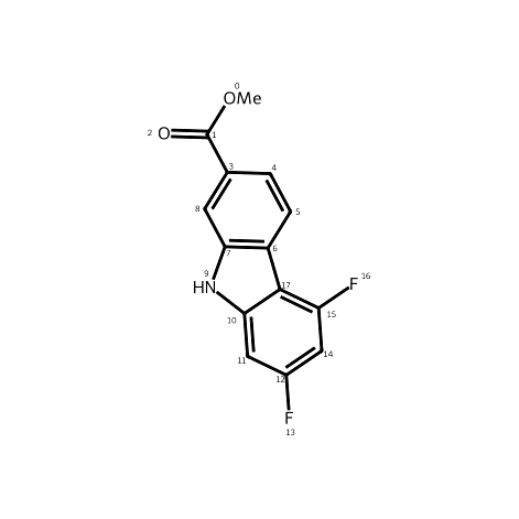 COC(=O)c1ccc2c(c1)[nH]c1cc(F)cc(F)c12